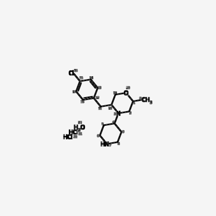 CC1CN(C2CCNCC2)C(Cc2ccc(Cl)cc2)CO1.Cl.Cl.O